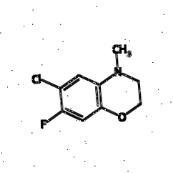 CN1CCOc2cc(F)c(Cl)cc21